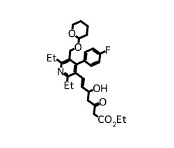 CCOC(=O)CC(=O)CC(O)C=Cc1c(CC)nc(CC)c(COC2CCCCO2)c1-c1ccc(F)cc1